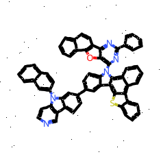 c1ccc(-c2nc(-n3c4ccc(-c5ccc6c7cnccc7n(-c7ccc8ccccc8c7)c6c5)cc4c4c5sc6ccccc6c5c5ccccc5c43)c3oc4c5ccccc5ccc4c3n2)cc1